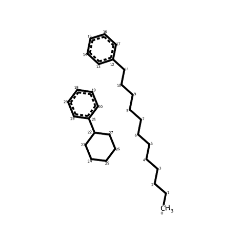 CCCCCCCCCCCCc1ccccc1.c1ccc(C2CCCCC2)cc1